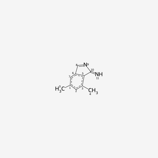 Cc1cc(C)c2c(c1)C=NC2=N